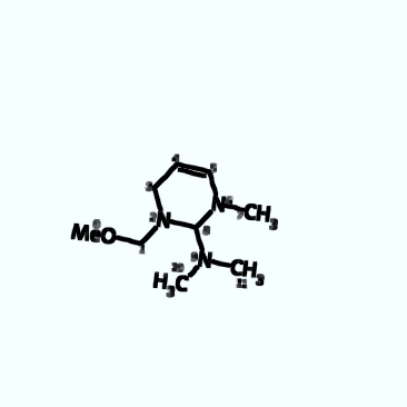 COCN1CC=CN(C)C1N(C)C